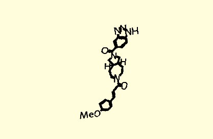 COc1ccc(C=CC(=O)N2CC[C@@H]3CN(C(=O)c4ccc5[nH]nnc5c4)C[C@@H]3CC2)cc1